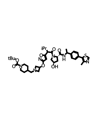 Cc1ncsc1-c1ccc(C(C)NC(=O)[C@@H]2C[C@@H](O)CN2C(=O)C(c2cc(OC3CN(CC4CCN(C(=O)OC(C)(C)C)CC4)C3)no2)C(C)C)cc1